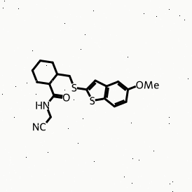 COc1ccc2sc(SCC3CCCCC3C(=O)NCC#N)cc2c1